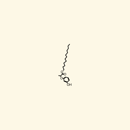 CCCCCCCCCCCCCOC(=O)C(C)Oc1cccc(O)c1